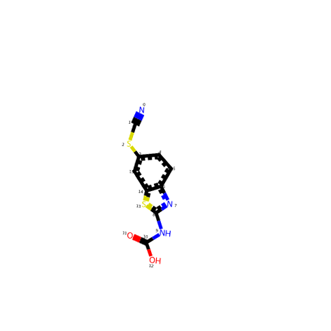 N#CSc1ccc2nc(NC(=O)O)sc2c1